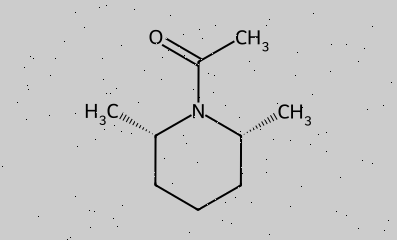 CC(=O)N1[C@H](C)CCC[C@@H]1C